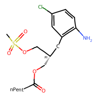 CCCCCC(=O)OC[C@H](COS(C)(=O)=O)Cc1cc(Cl)ccc1N